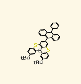 CC(C)(C)c1ccc2c(c1)B1c3cc(C(C)(C)C)ccc3Sc3cc(-c4c5ccccc5c(-c5ccccc5)c5ccccc45)cc(c31)S2